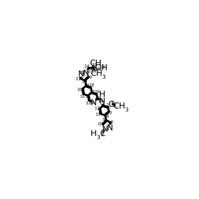 COc1cc(-c2cnn(C)c2)ccc1Nc1cc2cc(-c3cnn(CC(C)(C)O)c3)ccc2cn1